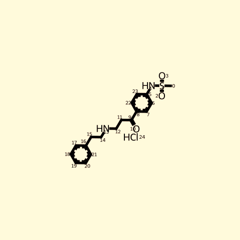 CS(=O)(=O)Nc1ccc(C(=O)CCNCCc2ccccc2)cc1.Cl